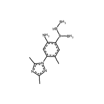 BBB(B)c1cc(C)c(-n2nc(C)nc2C)cc1N